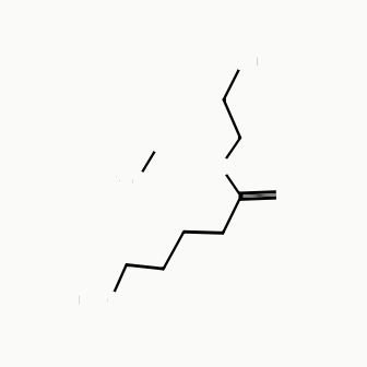 CCCCCC.O=C(O)CCCCC(=O)OCCO